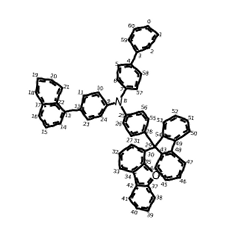 c1ccc(-c2ccc(N(c3ccc(-c4cccc5ccccc45)cc3)c3ccc(C4(c5cccc6c5oc5ccccc56)c5ccccc5-c5ccccc54)cc3)cc2)cc1